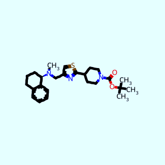 CN(Cc1csc(C2CCN(C(=O)OC(C)(C)C)CC2)n1)[C@@H]1CCCc2ccccc21